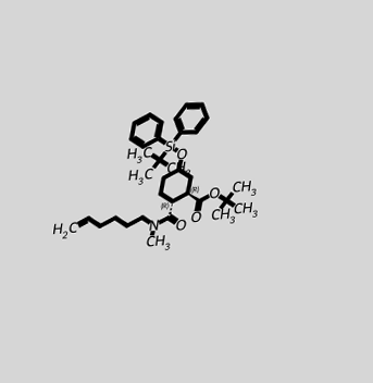 C=CCCCCN(C)C(=O)[C@@H]1CCC(O[Si](c2ccccc2)(c2ccccc2)C(C)(C)C)C[C@H]1C(=O)OC(C)(C)C